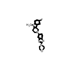 Cn1c2c(c3cc(F)ccc31)CN(c1ccc3nc(N4CCOCC4)sc3c1)CC2